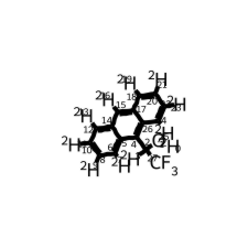 [2H]OC([2H])(c1c2c([2H])c([2H])c([2H])c([2H])c2c([2H])c2c([2H])c([2H])c([2H])c([2H])c12)C(F)(F)F